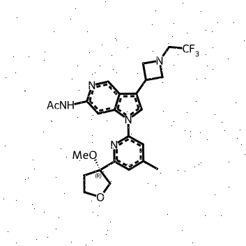 CO[C@@]1(c2cc(C)cc(-n3cc(C4CN(CC(F)(F)F)C4)c4cnc(NC(C)=O)cc43)n2)CCOC1